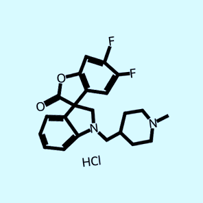 CN1CCC(CN2CC3(C(=O)Oc4cc(F)c(F)cc43)c3ccccc32)CC1.Cl